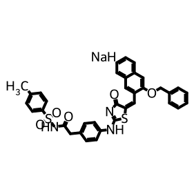 Cc1ccc(S(=O)(=O)NC(=O)Cc2ccc(NC3=NC(=O)C(=Cc4cc5ccccc5cc4OCc4ccccc4)S3)cc2)cc1.[NaH]